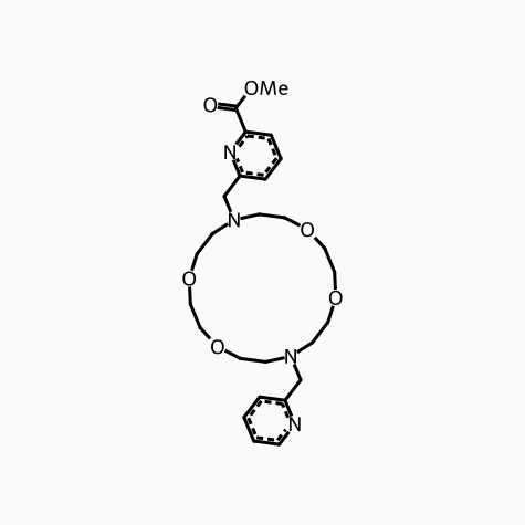 COC(=O)c1cccc(CN2CCOCCOCCN(Cc3ccccn3)CCOCCOCC2)n1